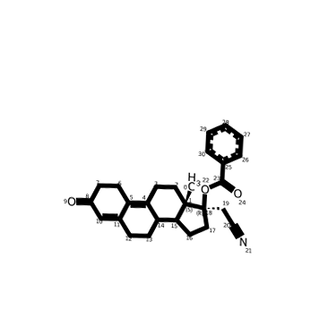 C[C@]12CCC3=C4CCC(=O)C=C4CCC3C1CC[C@]2(CC#N)OC(=O)c1ccccc1